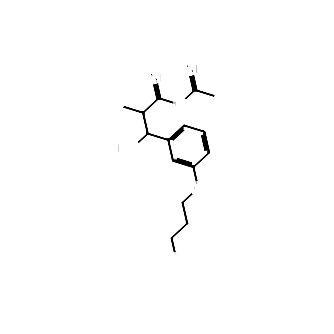 CC(=N)OC(=N)C(C)C(O)c1cccc(OCCCC(F)(F)F)c1